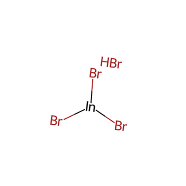 Br.[Br][In]([Br])[Br]